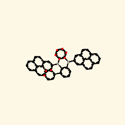 c1ccc(-c2cccc(N(c3ccccc3)c3cc4ccc5cccc6ccc(c3)c4c56)c2N(c2ccccc2)c2cc3ccc4cccc5ccc(c2)c3c45)cc1